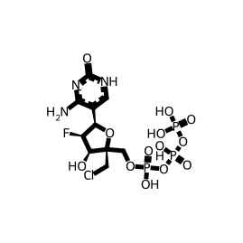 Nc1nc(=O)[nH]cc1[C@H]1O[C@](CCl)(COP(=O)(O)OP(=O)(O)OP(=O)(O)O)[C@@H](O)[C@H]1F